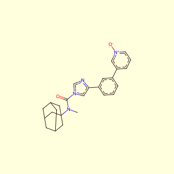 CN(C(=O)n1cnc(-c2cccc(-c3ccc[n+]([O-])c3)c2)c1)C12CC3CC(CC(C3)C1)C2